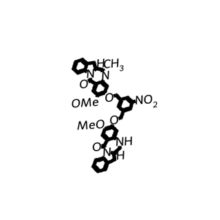 COc1cc2c(cc1OCc1cc(COc3cc4c(cc3OC)C(=O)N3c5ccccc5C[C@H]3CN4)cc([N+](=O)[O-])c1)N=C(C)[C@@H]1Cc3ccccc3N1C2=O